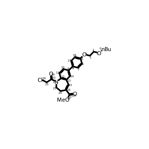 CCCCOCCOc1ccc(-c2ccc3c(c2)C=C(C(=O)OC)CCN3C(=O)CCl)cc1